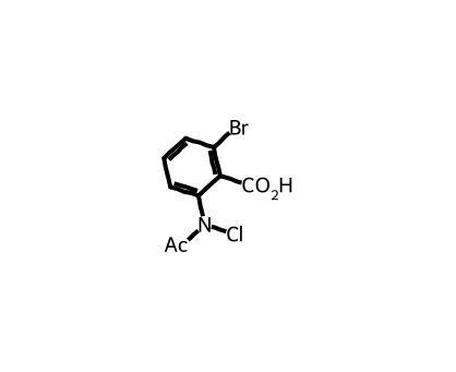 CC(=O)N(Cl)c1cccc(Br)c1C(=O)O